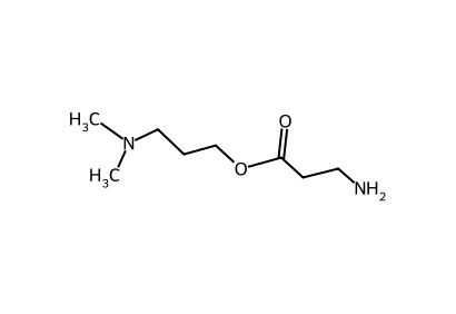 CN(C)CCCOC(=O)CCN